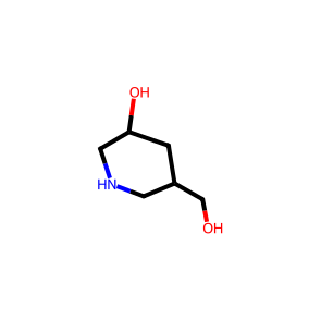 OCC1CNCC(O)C1